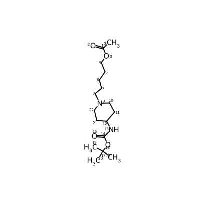 CC(=O)OCCCCCN1CCC(NC(=O)OC(C)(C)C)CC1